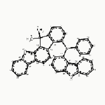 CC1(C)c2cccc(N(c3ccccc3)c3cccc4oc5ccccc5c34)c2-c2ccc3c(oc4ccccc43)c21